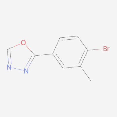 Cc1cc(-c2nnco2)ccc1Br